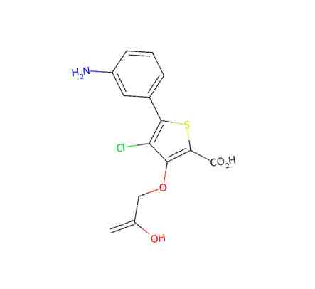 C=C(O)COc1c(C(=O)O)sc(-c2cccc(N)c2)c1Cl